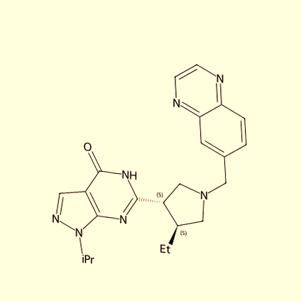 CC[C@@H]1CN(Cc2ccc3nccnc3c2)C[C@H]1c1nc2c(cnn2C(C)C)c(=O)[nH]1